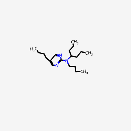 CCCCc1cnc(N(CCCC)C(CCC)CCC)nc1